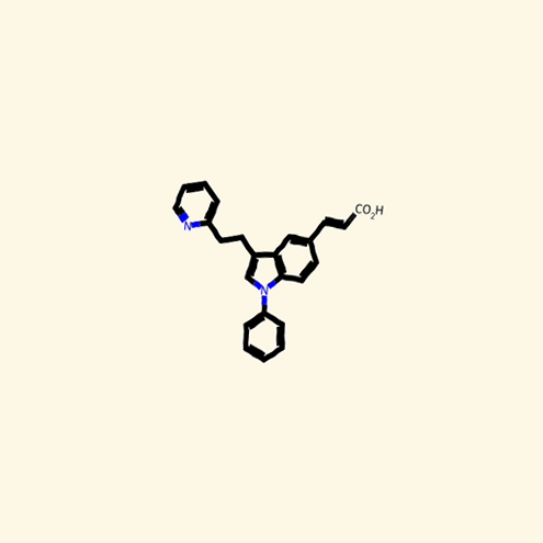 O=C(O)/C=C/c1ccc2c(c1)c(CCc1ccccn1)cn2-c1ccccc1